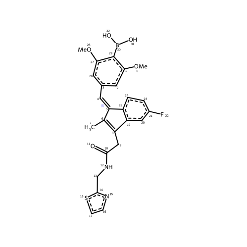 COc1cc(/C=C2/C(C)=C(CC(=O)NCc3nccs3)c3cc(F)ccc32)cc(OC)c1B(O)O